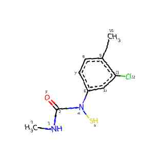 CNC(=O)N(S)c1ccc(C)c(Cl)c1